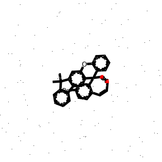 CC1(C)c2ccccc2-c2cc3c(cc21)Oc1ccccc1C31c2ccccc2C=Cc2ccc(Br)cc21